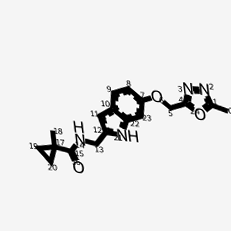 Cc1nnc(COc2ccc3cc(CNC(=O)C4(C)CC4)[nH]c3c2)o1